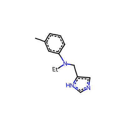 CCN(Cc1cnc[nH]1)c1cccc(C)c1